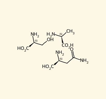 C[C@H](N)C(=O)O.NC(=O)C[C@H](N)C(=O)O.N[C@@H](CO)C(=O)O